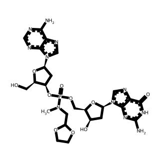 CN(CC1OCCO1)P(=O)(OC[C@H]1O[C@@H](n2cnc3c(=O)[nH]c(N)nc32)C[C@H]1O)O[C@@H]1C[C@H](n2cnc3c(N)ncnc32)O[C@@H]1CO